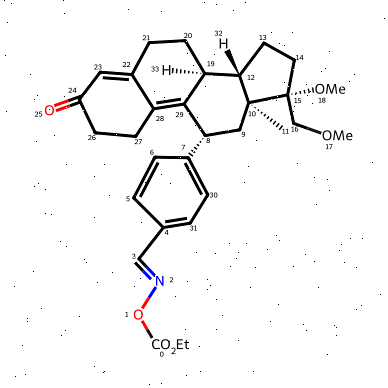 CCOC(=O)O/N=C/c1ccc([C@H]2C[C@@]3(C)[C@@H](CC[C@]3(COC)OC)[C@@H]3CCC4=CC(=O)CCC4=C32)cc1